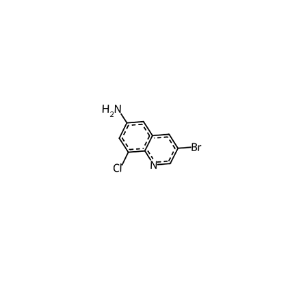 Nc1cc(Cl)c2ncc(Br)cc2c1